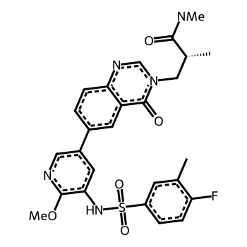 CNC(=O)[C@H](C)Cn1cnc2ccc(-c3cnc(OC)c(NS(=O)(=O)c4ccc(F)c(C)c4)c3)cc2c1=O